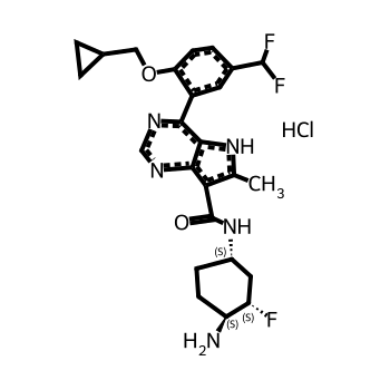 Cc1[nH]c2c(-c3cc(C(F)F)ccc3OCC3CC3)ncnc2c1C(=O)N[C@H]1CC[C@H](N)[C@@H](F)C1.Cl